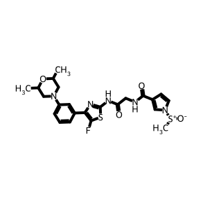 CC1CN(c2cccc(-c3nc(NC(=O)CNC(=O)c4ccn([S+](C)[O-])c4)sc3F)c2)CC(C)O1